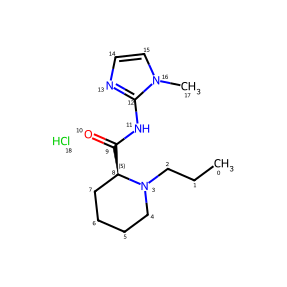 CCCN1CCCC[C@H]1C(=O)Nc1nccn1C.Cl